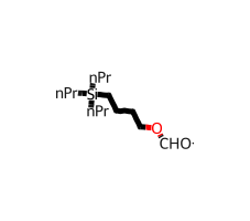 CCC[Si](CCC)(CCC)CCCCO[C]=O